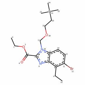 CCOC(=O)c1nc2c(CC)c(Br)ccc2n1COCC[Si](C)(C)C